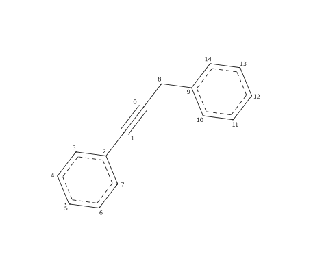 C(#Cc1cc[c]cc1)Cc1ccccc1